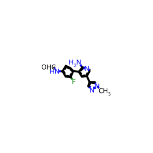 Cn1cc(-c2cnc(N)c(-c3ccc(NC=O)cc3F)c2)cn1